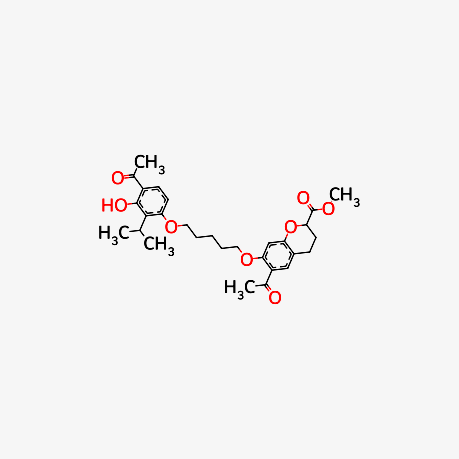 COC(=O)C1CCc2cc(C(C)=O)c(OCCCCCOc3ccc(C(C)=O)c(O)c3C(C)C)cc2O1